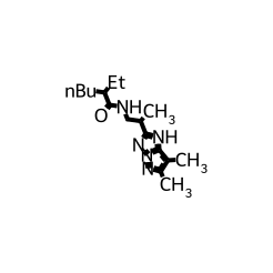 CCCCC(CC)C(=O)NCC(C)c1nn2nc(C)c(C)c2[nH]1